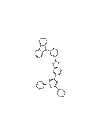 c1ccc(-c2nc(-c3ccccc3)nc(-c3ccc4oc(-c5cccc(-n6c7ccccc7c7ccccc76)c5)nc4c3)n2)cc1